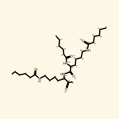 CCCCCC(=O)NCCCCC(NC(=O)C(CCCCNC(=O)CCCCC)NC(=O)CCCCC)C(C)=O